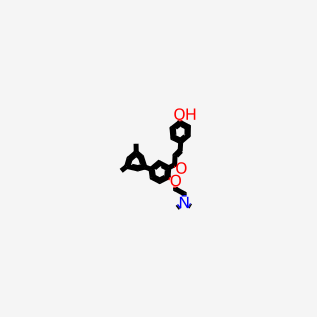 Cc1cc(C)cc(-c2ccc(OCCN(C)C)c(C(=O)C=Cc3ccc(O)cc3)c2)c1